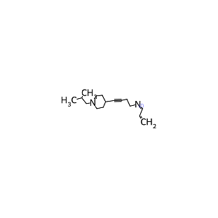 C=C/C=N\CCC#CC1CCN(CC(C)C)CC1